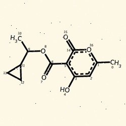 Cc1cc(O)c(C(=O)OC(C)C2CC2)c(=O)o1